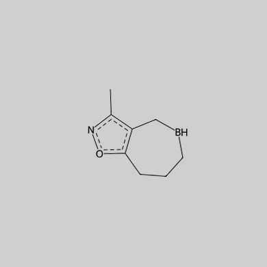 Cc1noc2c1CBCCC2